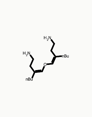 CCCCC(=COC=C(CCN)CCCC)CCN